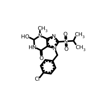 CC(C)S(=O)(=O)c1nc2c(n1Cc1ccc(Cl)cc1)C(=O)NC(O)N2C